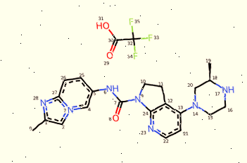 Cc1cn2cc(NC(=O)N3CCc4c(N5CCN[C@H](C)C5)ccnc43)ccc2n1.O=C(O)C(F)(F)F